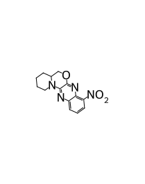 O=[N+]([O-])c1cccc2nc3c(nc12)OCC1CCCCN31